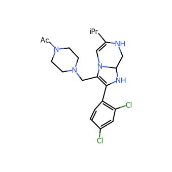 CC(=O)N1CCN(CC2=C(c3ccc(Cl)cc3Cl)NC3CNC(C(C)C)=CN23)CC1